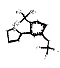 CC(C)(C)c1ccc(CC(F)(F)F)cc1C1CCCN1